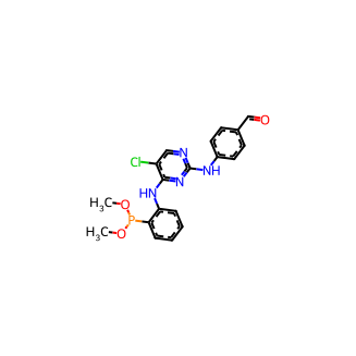 COP(OC)c1ccccc1Nc1nc(Nc2ccc(C=O)cc2)ncc1Cl